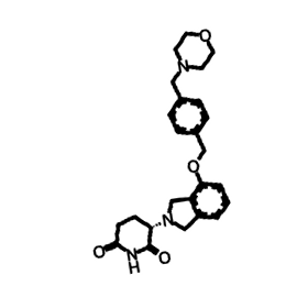 O=C1CC[C@H](N2Cc3cccc(OCc4ccc(CN5CCOCC5)cc4)c3C2)C(=O)N1